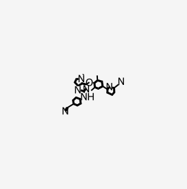 Cc1cc(-c2cccc(C#N)n2)cc(C)c1Oc1nc(Nc2ccc(C#N)cc2)nc2ccn(C)c12